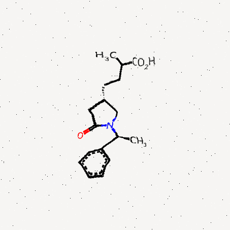 CC(CC[C@H]1CC(=O)N([C@@H](C)c2ccccc2)C1)C(=O)O